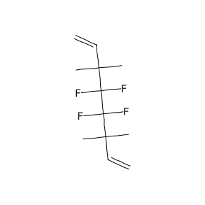 C=CC(C)(C)C(F)(F)C(F)(F)C(C)(C)C=C